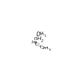 O.O.O.[C].[He]